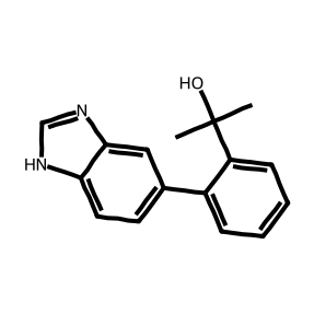 CC(C)(O)c1ccccc1-c1ccc2[nH]cnc2c1